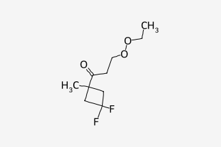 CCOOCCC(=O)C1(C)CC(F)(F)C1